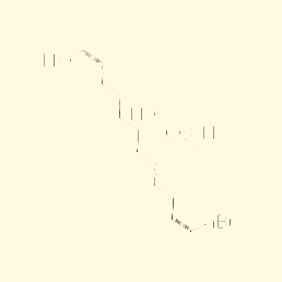 CC(=O)O.CCCC/C=C\CCCCCCCC/C=C\O